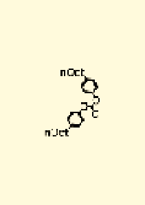 CCCCCCCCc1ccc(OC(=O)Oc2ccc(CCCCCCCC)cc2)cc1